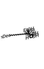 CCCCCCCCCCCCCCCCCCCCCCCCCC(=O)NC(COC1CCCC(O)C(O)C1O)C(O)CC(O)CC